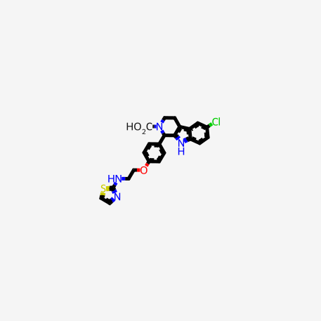 O=C(O)N1CCc2c([nH]c3ccc(Cl)cc23)C1c1ccc(OCCNc2nccs2)cc1